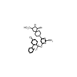 CC(C)C1NC(C(=O)O)CC12CCN(c1cc(O[C@H](c3ccc(Cl)cc3-c3ccccc3)C(F)(F)F)nc(N)n1)CC2